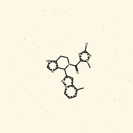 Cc1cccn2nc(C3c4nc[nH]c4CCN3C(=O)c3nc(Cl)nn3C)cc12